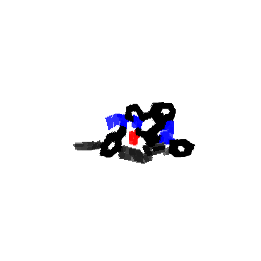 COc1ccc(C(C)(C)C)cc1CNC1CCC(c2ccccc2)N1C(=O)c1cnn(-c2ccccc2)c1C